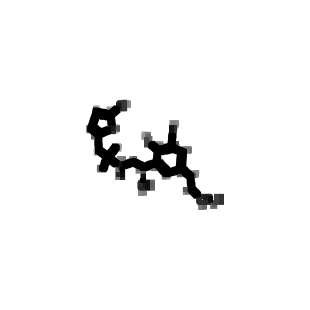 CC(C)(Cc1ccc(Cl)s1)NC[C@@H](O)c1cc(CCC(=O)O)cc(F)c1F